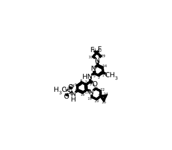 Cc1cc(NC(=O)c2ccc(NS(C)(=O)=O)cc2N2CCC3(CC2)CC3)nc(N2CC(F)(F)C2)c1